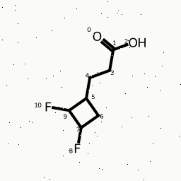 O=C(O)CCC1CC(F)C1F